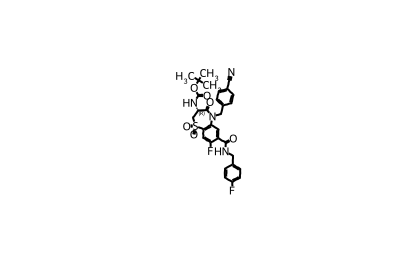 CC(C)(C)OC(=O)N[C@H]1CS(=O)(=O)c2cc(F)c(C(=O)NCc3ccc(F)cc3)cc2N(Cc2ccc(C#N)cc2)C1=O